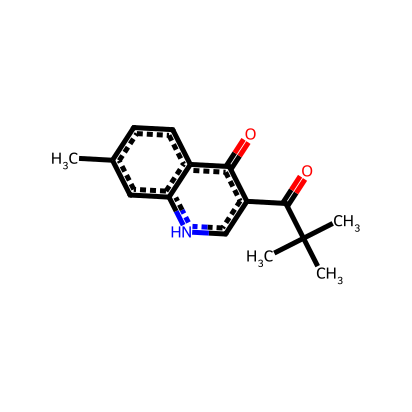 Cc1ccc2c(=O)c(C(=O)C(C)(C)C)c[nH]c2c1